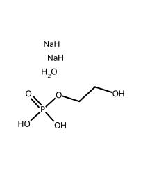 O.O=P(O)(O)OCCO.[NaH].[NaH]